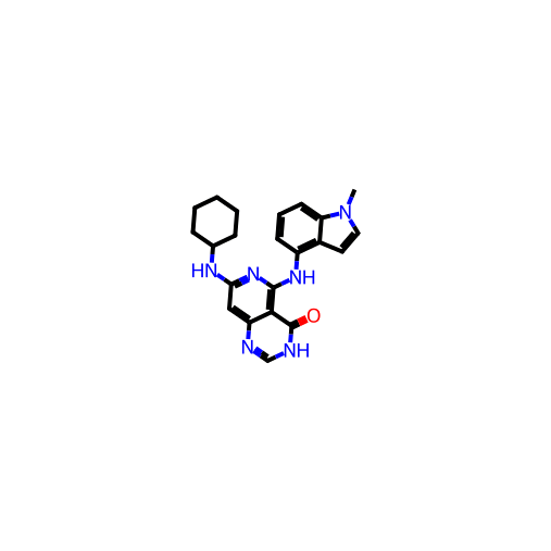 Cn1ccc2c(Nc3nc(NC4CCCCC4)cc4nc[nH]c(=O)c34)cccc21